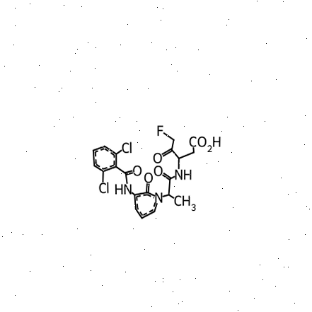 CC(C(=O)NC(CC(=O)O)C(=O)CF)n1cccc(NC(=O)c2c(Cl)cccc2Cl)c1=O